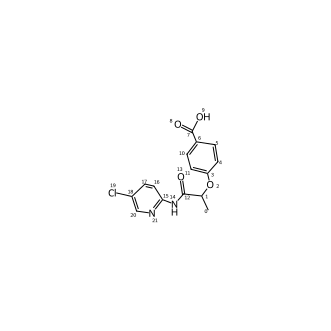 CC(Oc1ccc(C(=O)O)cc1)C(=O)Nc1ccc(Cl)cn1